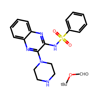 CC(C)(C)OC=O.O=S(=O)(Nc1nc2ccccc2nc1N1CCNCC1)c1ccccc1